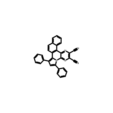 N#Cc1nc2c3c4ccccc4ccc3c3c(-c4ccccc4)cc(-c4ccccc4)n3c2nc1C#N